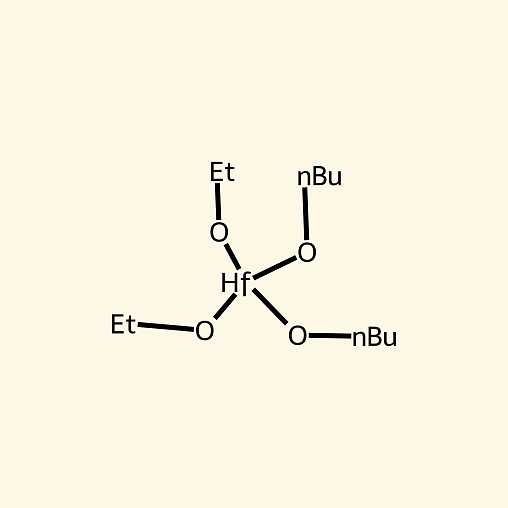 CCCC[O][Hf]([O]CC)([O]CC)[O]CCCC